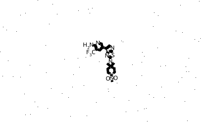 CS(=O)(=O)N1CCC2(CC1)CN(c1nn3c(-c4cnc(N)c(C(F)(F)F)c4)cnc3s1)C2